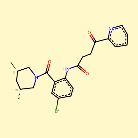 C[C@@H]1C[C@H](C)CN(C(=O)c2cc(Br)ccc2NC(=O)CCC(=O)c2ccccn2)C1